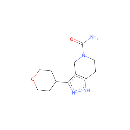 NC(=O)N1CCc2[nH]nc(C3CCOCC3)c2C1